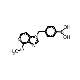 COc1nccc2c1ncn2Cc1ccc(B(O)O)cc1